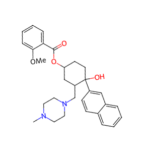 COc1ccccc1C(=O)OC1CCC(O)(c2ccc3ccccc3c2)C(CN2CCN(C)CC2)C1